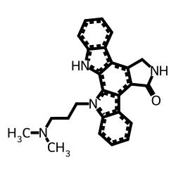 CN(C)CCCn1c2ccccc2c2c3c(c4c5ccccc5[nH]c4c21)CNC3=O